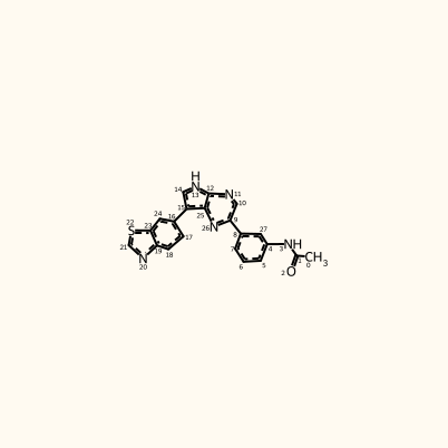 CC(=O)Nc1cccc(-c2cnc3[nH]cc(-c4ccc5ncsc5c4)c3n2)c1